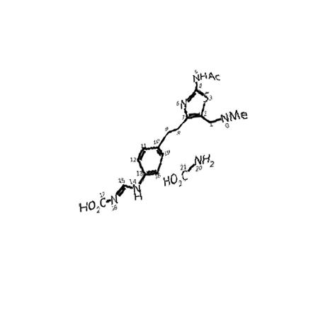 CNCc1sc(NC(C)=O)nc1CCc1ccc(NC=NC(=O)O)cc1.NC(=O)O